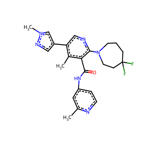 Cc1cc(NC(=O)c2c(N3CCCC(F)(F)CC3)ncc(-c3cnn(C)c3)c2C)ccn1